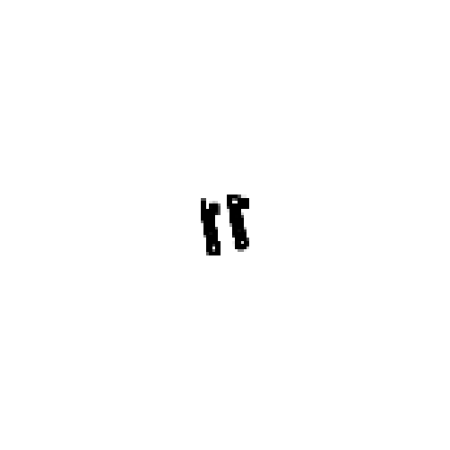 [O]=[Co].[O]=[La]